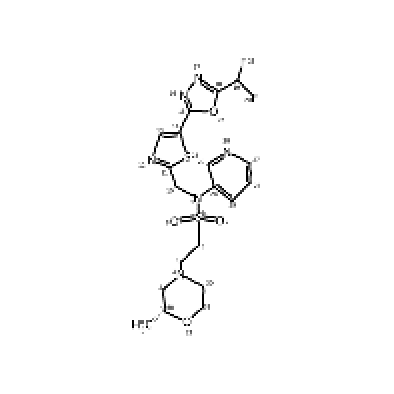 C[C@@H]1CN(CCS(=O)(=O)N(Cc2ncc(-c3nnc(C(F)F)o3)s2)c2cccnc2)CCO1